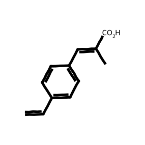 C=Cc1ccc(C=C(C)C(=O)O)cc1